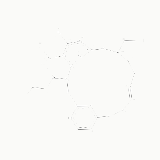 CCOC(=O)N1Cc2cccc(c2)OC/C=C/CCC(CO)Nc2nc(N)c([N+](=O)[O-])c1n2